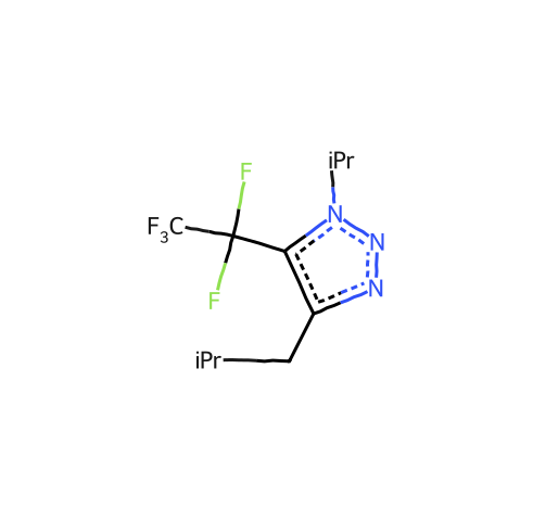 CC(C)Cc1nnn(C(C)C)c1C(F)(F)C(F)(F)F